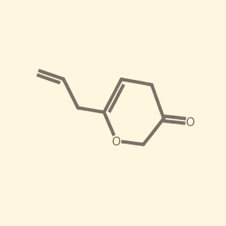 C=CCC1=CCC(=O)CO1